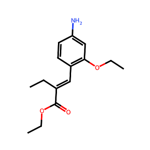 CCOC(=O)/C(=C/c1ccc(N)cc1OCC)CC